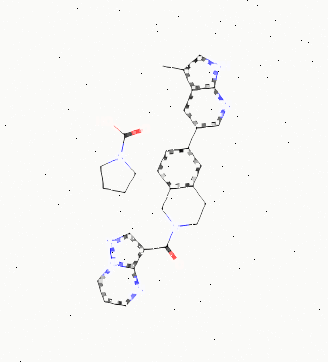 Cc1c[nH]c2ncc(-c3cc4c(c([C@@H]5CCCN5C(=O)O)c3)CN(C(=O)c3cnn5cccnc35)CC4)cc12